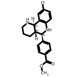 COC(=O)c1ccc([C@@H]2Nc3ccc(Cl)cc3[C@@H]3NCCC[C@@H]23)cc1